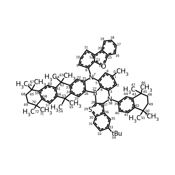 Cc1cc2c3c(c1)N(c1cccc4c1oc1ccccc14)c1cc4c(cc1B3c1sc3ccc(C(C)(C)C)cc3c1N2c1ccc2c(c1)C(C)(C)CCC2(C)C)C(C)(C)c1cc2c(cc1C4(C)C)C(C)(C)CCC2(C)C